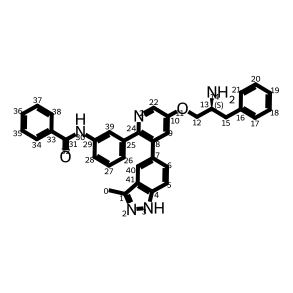 Cc1n[nH]c2ccc(-c3cc(OC[C@@H](N)Cc4ccccc4)cnc3-c3cccc(NC(=O)c4ccccc4)c3)cc12